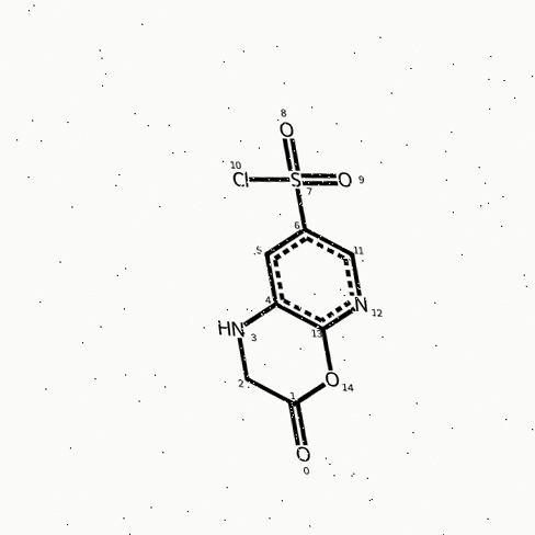 O=C1CNc2cc(S(=O)(=O)Cl)cnc2O1